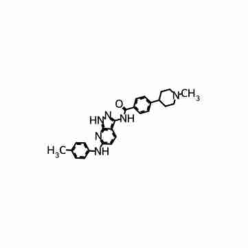 Cc1ccc(Nc2ccc3c(NC(=O)c4ccc(C5CCN(C)CC5)cc4)n[nH]c3n2)cc1